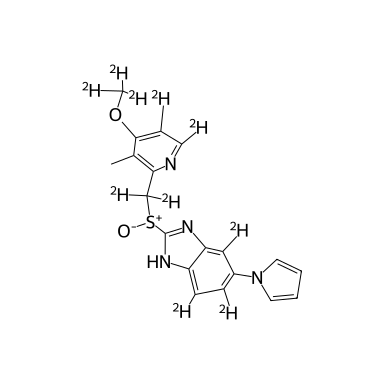 [2H]c1nc(C([2H])([2H])[S+]([O-])c2nc3c([2H])c(-n4cccc4)c([2H])c([2H])c3[nH]2)c(C)c(OC([2H])([2H])[2H])c1[2H]